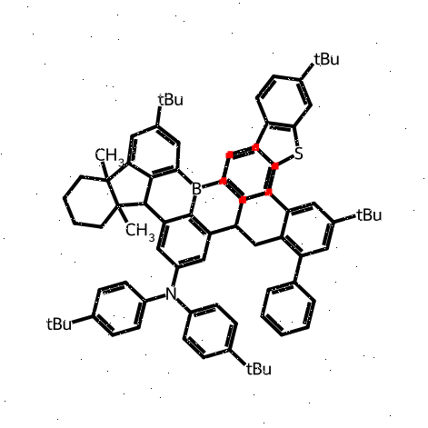 CC(C)(C)c1ccc(N(c2ccc(C(C)(C)C)cc2)c2cc3c4c(c2)C2c5c(cc(C(C)(C)C)cc5C5(C)CCCCC25C)B4c2cc4c(cc2C3Cc2c(-c3ccccc3)cc(C(C)(C)C)cc2-c2ccccc2)sc2cc(C(C)(C)C)ccc24)cc1